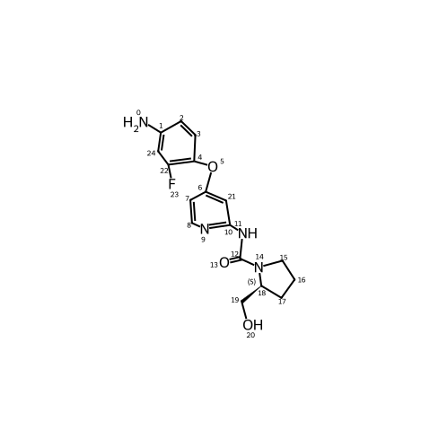 Nc1ccc(Oc2ccnc(NC(=O)N3CCC[C@H]3CO)c2)c(F)c1